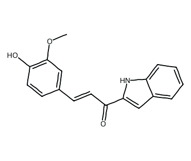 COc1cc(/C=C/C(=O)c2cc3ccccc3[nH]2)ccc1O